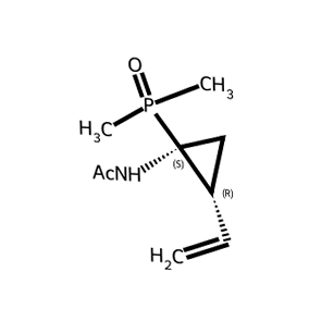 C=C[C@H]1C[C@]1(NC(C)=O)P(C)(C)=O